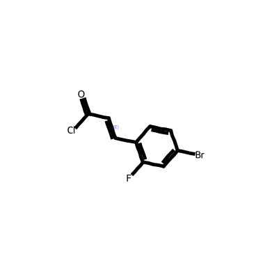 O=C(Cl)/C=C/c1ccc(Br)cc1F